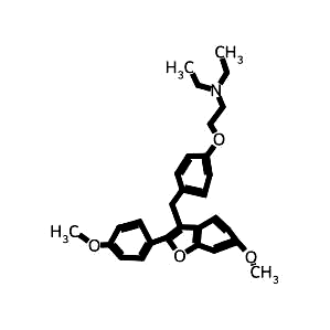 CCN(CC)CCOc1ccc(Cc2c(-c3ccc(OC)cc3)oc3cc(OC)ccc23)cc1